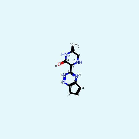 C=C1CNC(c2nnc3c(n2)C=CC3)C(=O)N1